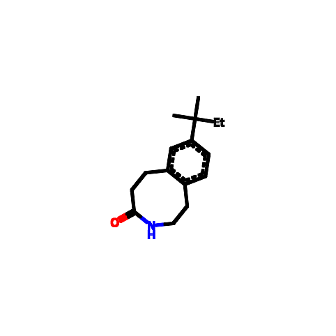 CCC(C)(C)c1ccc2c(c1)CCC(=O)NCC2